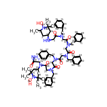 CC1CC(NCC(=O)N(CC(=O)N(CC(=O)N(CC(=O)N(CC(=O)N(CC(=O)N(CC(N)=O)C2CC(C)(C)N(O)C(C)(C)C2)Cc2ccccc2)Cc2ccccc2)Cc2ccccc2)Cc2ccccc2)Cc2ccccc2)CC(C)(C)N1O